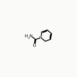 NC(=O)N1[C]=CC=CC1